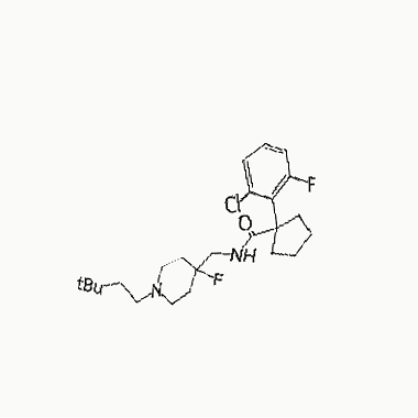 CC(C)(C)CCN1CCC(F)(CNC(=O)C2(c3c(F)cccc3Cl)CCCC2)CC1